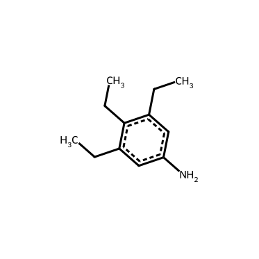 CCc1cc(N)cc(CC)c1CC